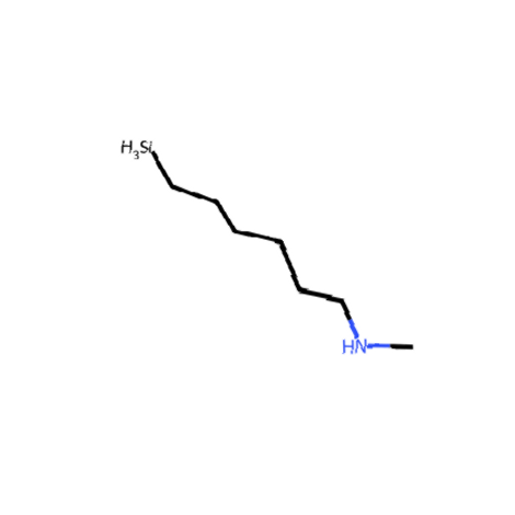 CNCCCCCC[SiH3]